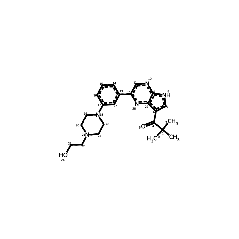 CC(C)(C)C(=O)c1c[nH]c2ncc(-c3cccc(N4CCN(CCO)CC4)c3)nc12